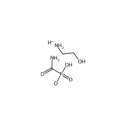 NC(=O)P(=O)([O-])O.NCCO.[H+]